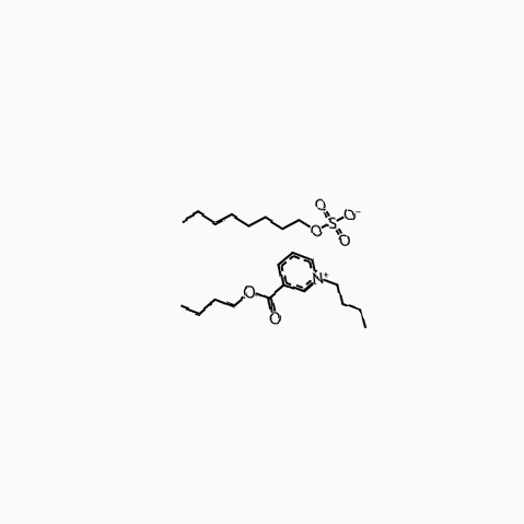 CCCCCCCCOS(=O)(=O)[O-].CCCCOC(=O)c1ccc[n+](CCCC)c1